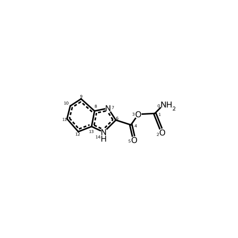 NC(=O)OC(=O)c1nc2ccccc2[nH]1